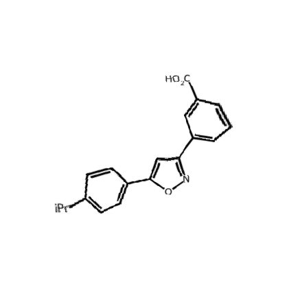 CC(C)c1ccc(-c2cc(-c3cccc(C(=O)O)c3)no2)cc1